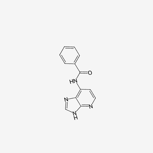 O=C(Nc1ccnc2[nH]cnc12)c1ccccc1